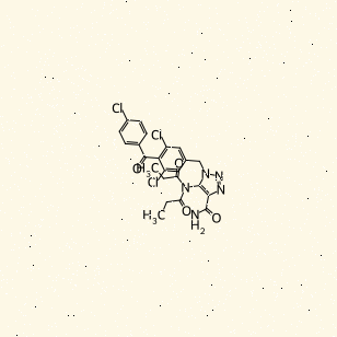 CCC(=O)N(C(=O)CC)c1c(C(N)=O)nnn1Cc1cc(Cl)c(C(=O)c2ccc(Cl)cc2)c(Cl)c1